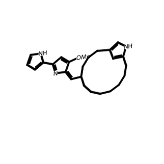 COC1=CC(c2ccc[nH]2)=NC1=CC1CCCCCCCc2cc(c[nH]2)CCC1